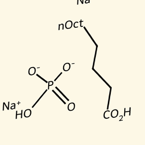 CCCCCCCCCCCC(=O)O.O=P([O-])([O-])O.[Na+].[Na+]